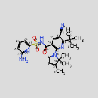 CC1CCN(c2nc(C(C)(C)C)c(C#N)cc2C(=O)NS(=O)(=O)c2cccc(N)n2)C1(C)C